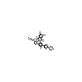 COCCN(C)[C@@H]1CCN(c2cc(F)c(-c3cnc(N4CCOCC4)nc3)cc2NC(=O)c2c[nH]c(=O)cc2C(F)(F)F)C1